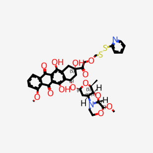 COc1cccc2c1C(=O)c1c(O)c3c(c(O)c1C2=O)C[C@@](O)(C(=O)COCSSc1ccccn1)C[C@@H]3O[C@H]1C[C@H]2[C@H](O[C@@H]3[C@@H](OC)OCCN32)[C@H](C)O1